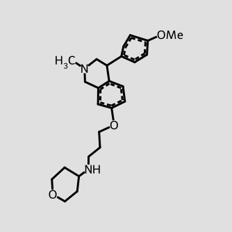 COc1ccc(C2CN(C)Cc3cc(OCCCNC4CCOCC4)ccc32)cc1